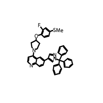 CSc1ccc(OC2CCN(c3ccnc4ccc(-c5cnn(C(c6ccccc6)(c6ccccc6)c6ccccc6)c5)cc34)CC2)c(F)c1